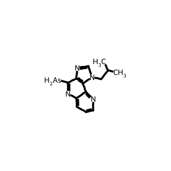 CC(C)Cn1cnc2c([AsH2])nc3cccnc3c21